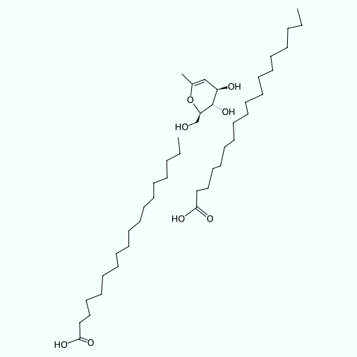 CC1=C[C@@H](O)[C@H](O)[C@@H](CO)O1.CCCCCCCCCCCCCCCCCC(=O)O.CCCCCCCCCCCCCCCCCC(=O)O